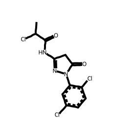 CC(Cl)C(=O)NC1=NN(c2cc(Cl)ccc2Cl)C(=O)C1